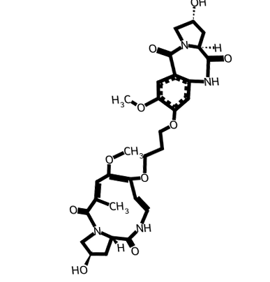 COC1=C(OCCCOc2cc3c(cc2OC)C(=O)N2C[C@H](O)C[C@H]2C(=O)N3)/C=C/NC(=O)[C@@H]2C[C@@H](O)CN2C(=O)\C(C)=C\1